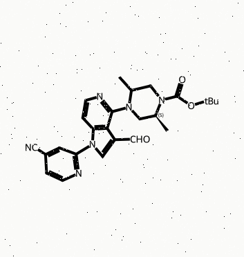 CC1CN(C(=O)OC(C)(C)C)[C@@H](C)CN1c1nccc2c1c(C=O)cn2-c1cc(C#N)ccn1